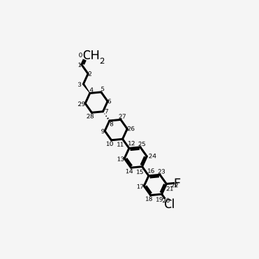 C=CCC[C@H]1CC[C@H](C2CCC(c3ccc(-c4ccc(Cl)c(F)c4)cc3)CC2)CC1